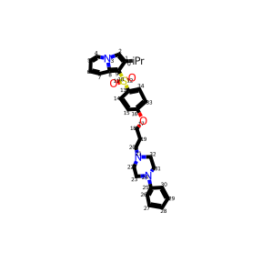 CC(C)c1cn2ccccc2c1S(=O)(=O)c1ccc(OCCCN2CCN(c3ccccc3)CC2)cc1